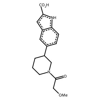 COCC(=O)N1CCCC(c2ccc3[nH]c(C(=O)O)cc3c2)C1